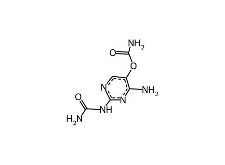 NC(=O)Nc1ncc(OC(N)=O)c(N)n1